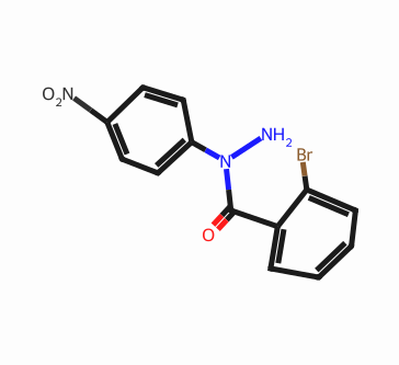 NN(C(=O)c1ccccc1Br)c1ccc([N+](=O)[O-])cc1